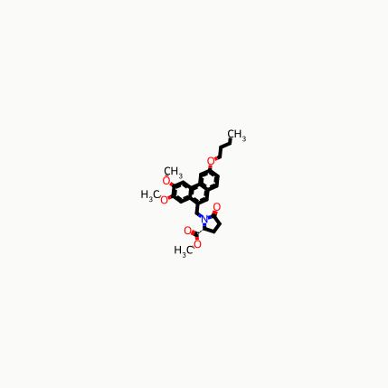 CCCCOc1ccc2cc(CN3C(=O)CC[C@@H]3C(=O)OC)c3cc(OC)c(OC)cc3c2c1